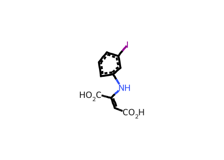 O=C(O)/C=C(\Nc1cccc(I)c1)C(=O)O